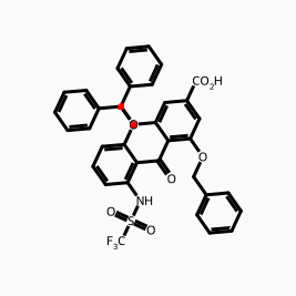 O=C(O)c1cc(OCc2ccccc2)c(C(=O)c2c(NS(=O)(=O)C(F)(F)F)cccc2OCc2ccccc2)c(OCc2ccccc2)c1